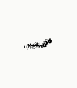 CC(P)CCCC(O)C(O)CCCCOC1=CC2SC(=O)C(c3ccccc3)=CC2C=C1